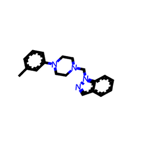 Cc1cccc(N2CCN(Cn3ncc4ccccc43)CC2)c1